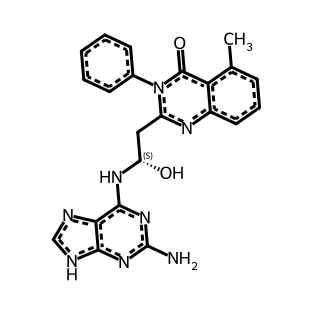 Cc1cccc2nc(C[C@H](O)Nc3nc(N)nc4[nH]cnc34)n(-c3ccccc3)c(=O)c12